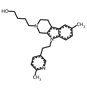 Cc1ccc2c(c1)c1c(n2CCc2ccc(C)nc2)CN(CCCCO)CC1